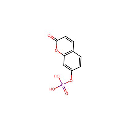 O=c1ccc2ccc(OP(=O)(O)O)cc2o1